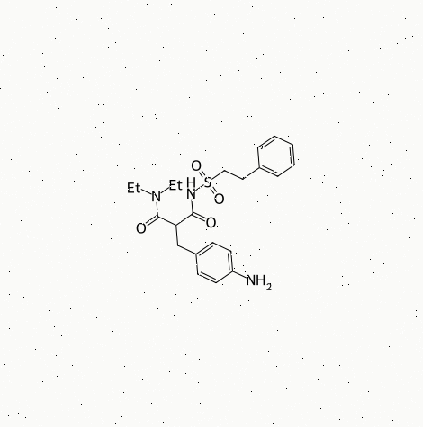 CCN(CC)C(=O)C(Cc1ccc(N)cc1)C(=O)NS(=O)(=O)CCc1ccccc1